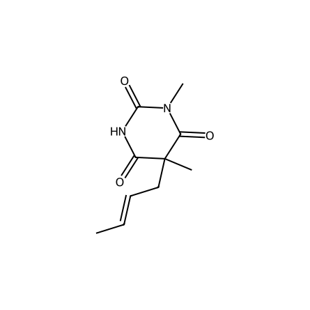 CC=CCC1(C)C(=O)NC(=O)N(C)C1=O